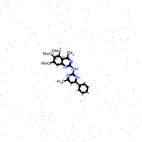 COc1cc2nc(Nc3nc(C)cc(-c4ccccc4)n3)nc(C)c2c(OC)c1OC